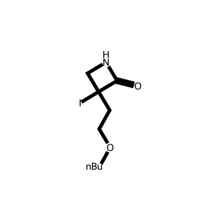 CCCCOCCC1(I)CNC1=O